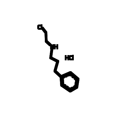 Cl.ClCCNCCCc1ccccc1